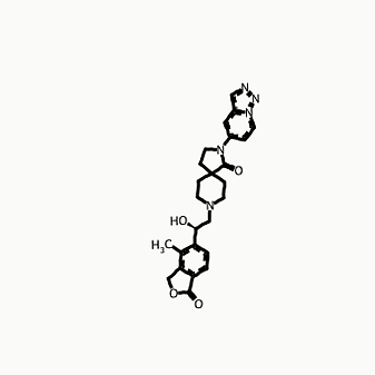 Cc1c([C@@H](O)CN2CCC3(CC2)CCN(c2ccn4nncc4c2)C3=O)ccc2c1COC2=O